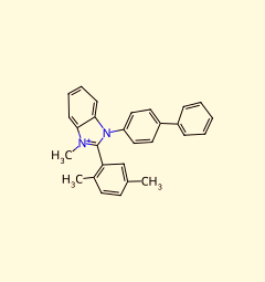 Cc1ccc(C)c(-c2n(-c3ccc(-c4ccccc4)cc3)c3ccccc3[n+]2C)c1